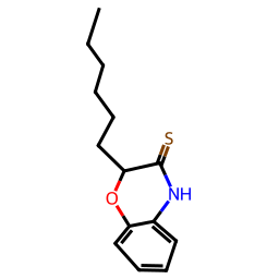 CCCCCCC1Oc2ccccc2NC1=S